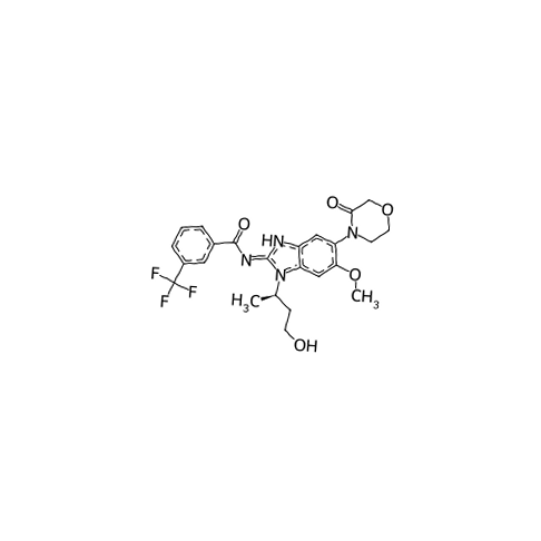 COc1cc2c(cc1N1CCOCC1=O)[nH]/c(=N\C(=O)c1cccc(C(F)(F)F)c1)n2[C@H](C)CCO